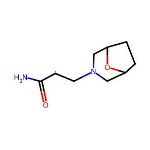 NC(=O)[CH]CN1CC2CCC(C1)O2